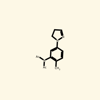 CC(=O)N(C(C)=O)c1cc(N2CCC=N2)ccc1C